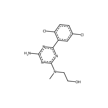 CN(CCO)c1nc(N)nc(-c2cc(Cl)ccc2Cl)n1